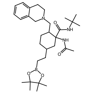 CC(=O)NC1(C(=O)NC(C)(C)C)CC(CCB2OC(C)(C)C(C)(C)O2)CCC1CN1CCc2ccccc2C1